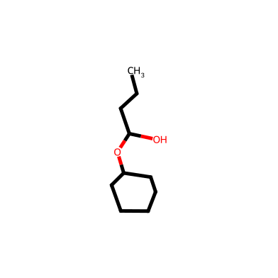 CCCC(O)OC1CCCCC1